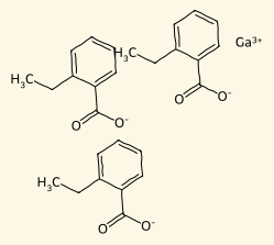 CCc1ccccc1C(=O)[O-].CCc1ccccc1C(=O)[O-].CCc1ccccc1C(=O)[O-].[Ga+3]